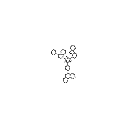 c1ccc(-c2ccc(-c3nc(-c4ccc(-c5cc6ccccc6c6ccccc56)cc4)nc(-c4cccc5c4sc4ccccc45)n3)c3ccccc23)cc1